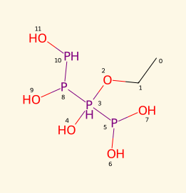 CCO[PH](O)(P(O)O)P(O)PO